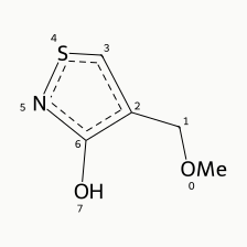 COCc1csnc1O